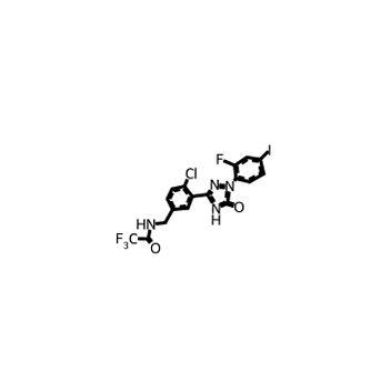 O=C(NCc1ccc(Cl)c(-c2nn(-c3ccc(I)cc3F)c(=O)[nH]2)c1)C(F)(F)F